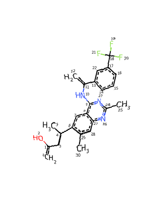 C=C(O)CC(C)c1cc2c(NC(=C)c3cccc(C(F)(F)F)c3)nc(C)nc2cc1C